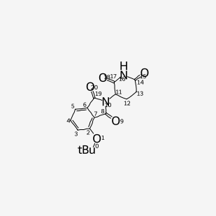 CC(C)(C)Oc1cccc2c1C(=O)N(C1CCC(=O)NC1=O)C2=O